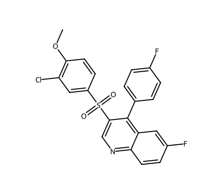 COc1ccc(S(=O)(=O)c2cnc3ccc(F)cc3c2-c2ccc(F)cc2)cc1Cl